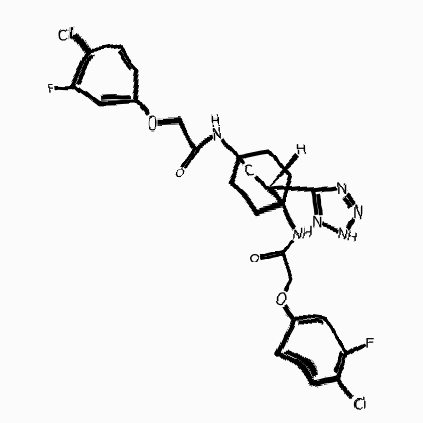 O=C(COc1ccc(Cl)c(F)c1)NC12CCC(NC(=O)COc3ccc(Cl)c(F)c3)(CC1)[C@@H](c1nn[nH]n1)C2